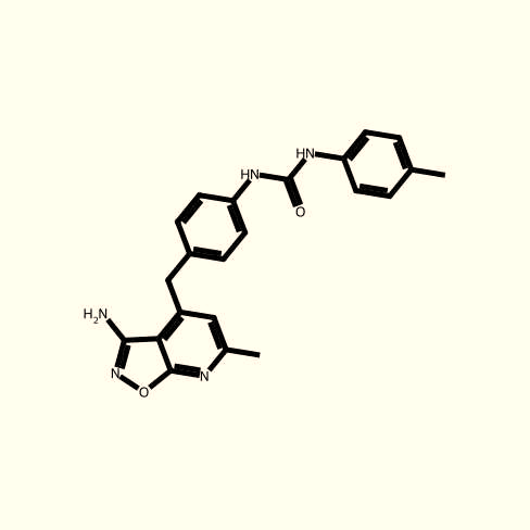 Cc1ccc(NC(=O)Nc2ccc(Cc3cc(C)nc4onc(N)c34)cc2)cc1